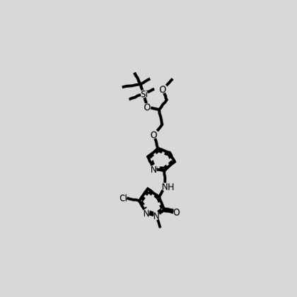 COCC(COc1ccc(Nc2cc(Cl)nn(C)c2=O)nc1)O[Si](C)(C)C(C)(C)C